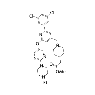 CCN1CCN(c2ncc(Oc3cc(CN4CCC(CC(=O)OC)CC4)cc(-c4cc(Cl)cc(Cl)c4)n3)cn2)CC1